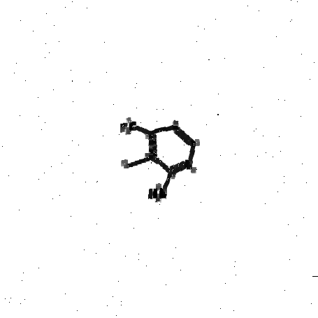 Cc1c(C(F)(F)F)ccnc1N